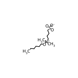 CCCCCCO[N+](C)(C)CCCCS(=O)(=O)[O-]